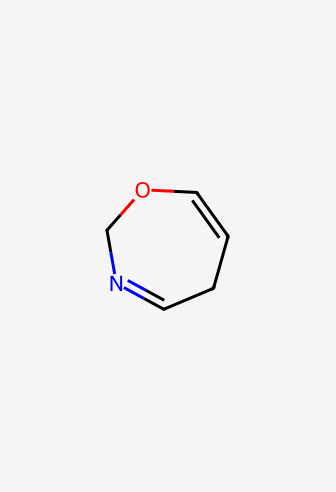 C1=COCN=CC1